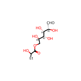 CCC(O)C(=O)OC[C@@H](O)[C@@H](O)[C@H](O)[C@@H](O)C=O